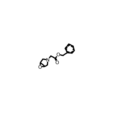 O=C(CN1CC2OC2C1)OCc1ccccc1